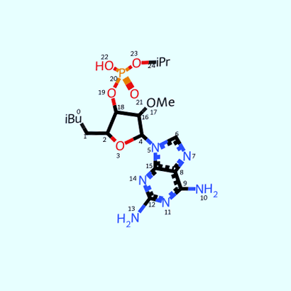 CCC(C)CC1OC(n2cnc3c(N)nc(N)nc32)C(OC)C1OP(=O)(O)OC(C)C